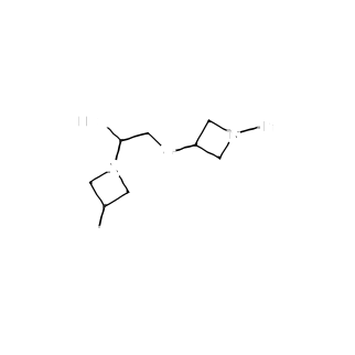 CC(C)N1CC(OCC(C)N2CC(F)C2)C1